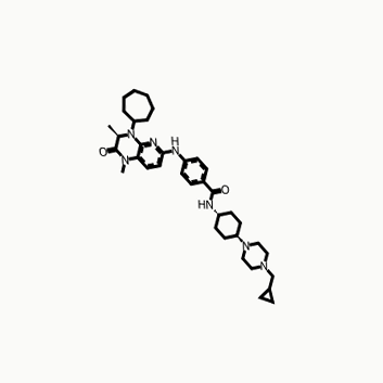 C[C@@H]1C(=O)N(C)c2ccc(Nc3ccc(C(=O)N[C@H]4CC[C@H](N5CCN(CC6CC6)CC5)CC4)cc3)nc2N1C1CCCCCC1